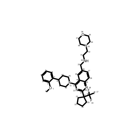 COc1ccccc1C1CCN(c2nc(C3(C(F)(F)F)CCCC3)nc3ccc(CNCCN4CCOCC4)cc23)CC1